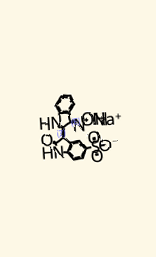 O=C1Nc2ccc(S(=O)(=O)[O-])cc2/C1=C1/Nc2ccccc2/C1=N\O.[Na+]